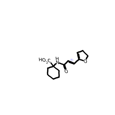 O=C(/C=C/C1=CCCO1)NC1(C(=O)O)CCCCC1